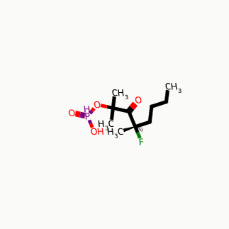 CCCC[C@](C)(F)C(=O)C(C)(C)O[PH](=O)O